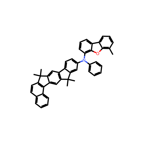 Cc1cccc2c1oc1c(N(c3ccccc3)c3ccc4c(c3)C(C)(C)c3cc5c(cc3-4)C(C)(C)c3ccc4ccccc4c3-5)cccc12